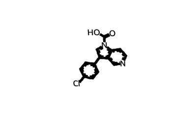 O=C(O)n1cc(-c2ccc(Cl)cc2)c2cnccc21